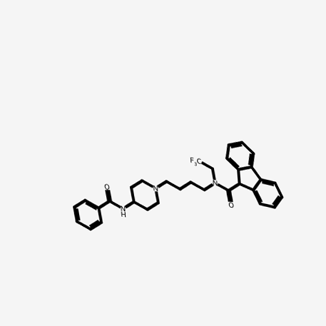 O=C(NC1CCN(CCCCN(CC(F)(F)F)C(=O)C2c3ccccc3-c3ccccc32)CC1)c1ccccc1